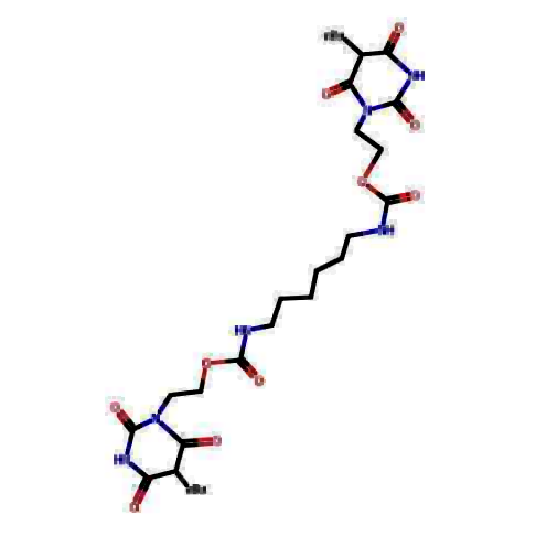 CCCCC1C(=O)NC(=O)N(CCOC(=O)NCCCCCCNC(=O)OCCN2C(=O)NC(=O)C(CCCC)C2=O)C1=O